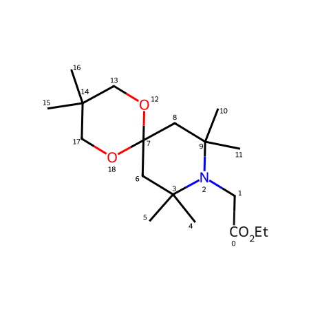 CCOC(=O)CN1C(C)(C)CC2(CC1(C)C)OCC(C)(C)CO2